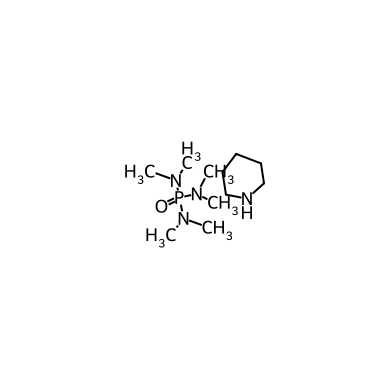 C1CCNCC1.CN(C)P(=O)(N(C)C)N(C)C